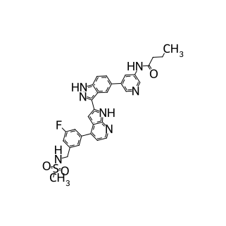 CCCC(=O)Nc1cncc(-c2ccc3[nH]nc(-c4cc5c(-c6cc(F)cc(CNS(C)(=O)=O)c6)ccnc5[nH]4)c3c2)c1